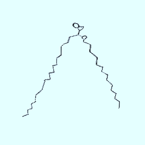 CCCCCCCCCCCCCCCCCCCC(OCCCCCCCCCCCCCCC)C1CO1